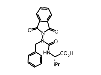 CC(C)[C@H](NC(=O)N(Cc1ccccc1)N1C(=O)c2ccccc2C1=O)C(=O)O